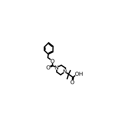 CC(C)(C(=O)O)N1CCN(C(=O)OCc2ccccc2)CC1